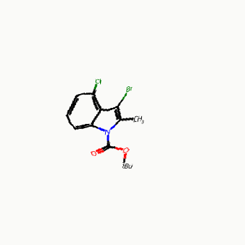 Cc1c(Br)c2c(Cl)cccc2n1C(=O)OC(C)(C)C